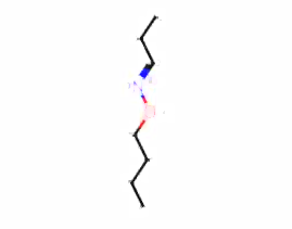 [CH2]C/C=N/OCCCC